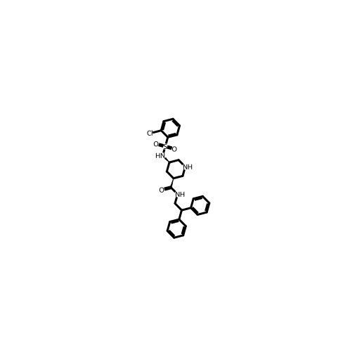 O=C(NCC(c1ccccc1)c1ccccc1)[C@@H]1CNC[C@H](NS(=O)(=O)c2ccccc2Cl)C1